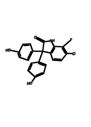 O=C1Nc2c(ccc(Cl)c2F)C1(c1ccc(O)cc1)c1ccc(O)cc1